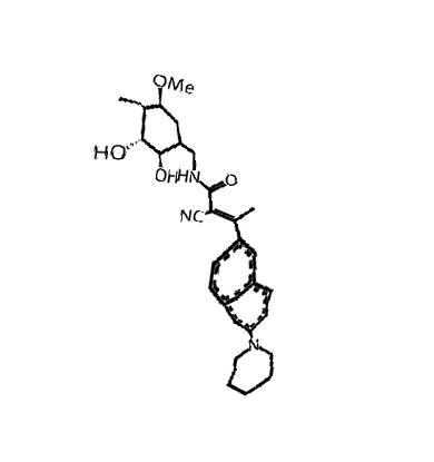 CO[C@H]1CC(CNC(=O)/C(C#N)=C(\C)c2ccc3cc(N4CCCCC4)ccc3c2)[C@@H](O)[C@H](O)[C@H]1C